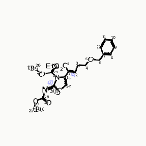 CCOC(=O)/C(=C\CCOCc1ccccc1)c1cs/c(=N\C(=O)OC(C)(C)C)n1C(=O)OC(C)(C)C